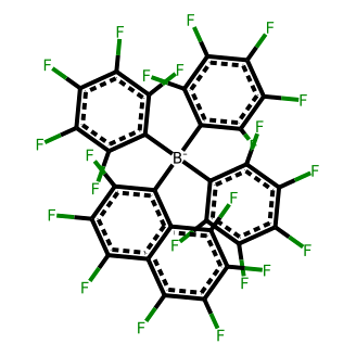 Fc1c(F)c(F)c([B-](c2c(F)c(F)c(F)c(F)c2F)(c2c(F)c(F)c(F)c(F)c2F)c2c(F)c(F)c(F)c3c(F)c(F)c(F)c(F)c23)c(F)c1F